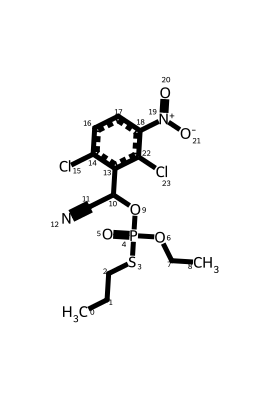 CCCSP(=O)(OCC)OC(C#N)c1c(Cl)ccc([N+](=O)[O-])c1Cl